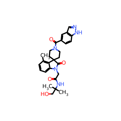 Cc1cccc2c1C1(CCN(C(=O)c3ccc4[nH]ncc4c3)CC1)C(=O)N2CC(=O)NC(C)(C)CO